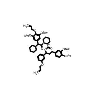 C=CCOc1cccc(C(CCc2ccc(OC)c(OC)c2)OC(=O)[C@H]2CCCCN2C(=O)C(c2cc(OC)c(OCC=C)c(OC)c2)C2CCCCC2)c1